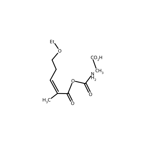 CC(=O)O.CCOCCC=C(C)C(=O)OC(N)=O